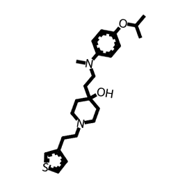 CC(C)Oc1ccc(N(C)CCC2(O)CCN(CCc3ccsc3)CC2)cc1